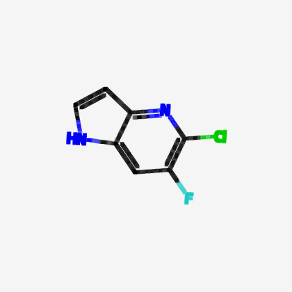 Fc1cc2[nH]ccc2nc1Cl